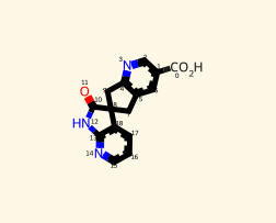 O=C(O)c1cnc2c(c1)CC1(C2)C(=O)Nc2ncccc21